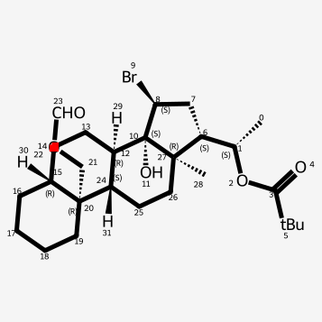 C[C@H](OC(=O)C(C)(C)C)[C@H]1C[C@H](Br)[C@]2(O)[C@@H]3CC[C@H]4CCCC[C@]4(COC=O)[C@H]3CC[C@]12C